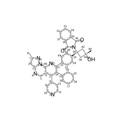 Cc1cc2ncc3c(-c4ccncc4)c(-c4ccccc4)c(-c4ccc([C@]5(N6C(=O)c7ccccc7C6=O)C[C@@](C)(O)C5)cc4)nc3n2n1